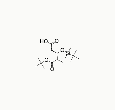 CC(C(=O)OC(C)(C)C)[C@@H](CC(=O)O)O[Si](C)(C)C(C)(C)C